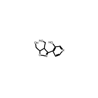 OCC1ON=C(c2ccncc2O)C1CO